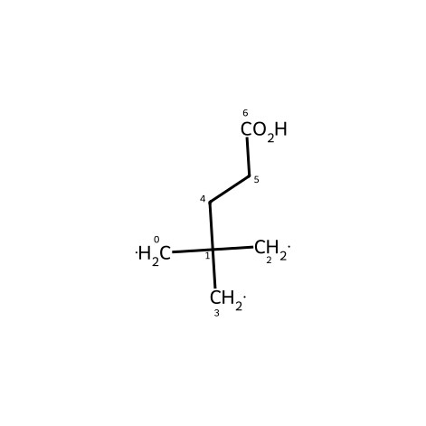 [CH2]C([CH2])([CH2])CCC(=O)O